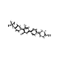 Fc1cc(-c2c(F)cc(-c3ccc(C4CCC(S)CC4)cc3)cc2F)ccc1OC(F)(F)F